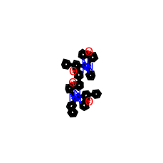 c1ccc(-c2nc(-c3cccc4oc5ccccc5c34)nc(-c3ccc(-c4ccccc4)c4oc5cc(-c6cccc7c6oc6cccc(-c8nc(-c9ccc%10ccccc%10c9)nc(-c9ccc(-c%10ccccc%10)c%10oc%11ccccc%11c9%10)n8)c67)ccc5c34)n2)cc1